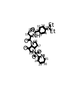 CCN(CC)c1ccc(C(=O)NC(CC(C)C)C(=O)N2CCC3C2C(=O)CN3S(=O)(=O)c2ccccn2)cc1